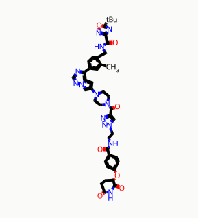 Cc1cc(-c2ncnn3cc(N4CCN(C(=O)c5cn(CCNC(=O)c6ccc(OC7CCC(=O)NC7=O)cc6)nn5)CC4)cc23)ccc1CNC(=O)c1noc(C(C)(C)C)n1